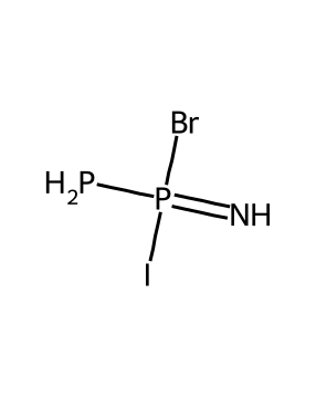 N=P(P)(Br)I